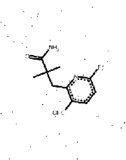 CC(C)(Cc1nc(F)ccc1C=O)C(N)=O